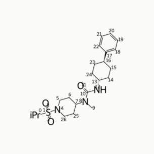 CC(C)S(=O)(=O)N1CCC(N(C)C(=O)N[C@H]2CC[C@H](c3ccccc3)CC2)CC1